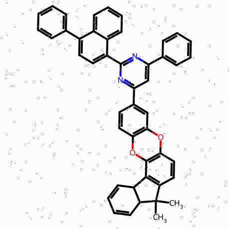 CC1(C)c2ccc3c(c2C2C=CC=CC21)Oc1ccc(-c2cc(-c4ccccc4)nc(-c4ccc(-c5ccccc5)c5ccccc45)n2)cc1O3